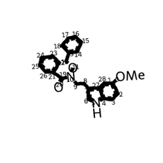 COc1ccc2[nH]cc(CCN(OCc3ccccc3)C(=O)c3ccccc3)c2c1